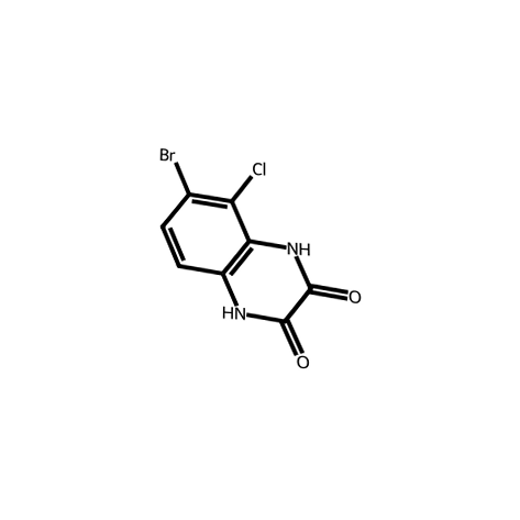 O=c1[nH]c2ccc(Br)c(Cl)c2[nH]c1=O